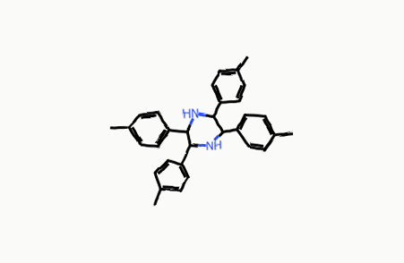 Cc1ccc(C2NC(c3ccc(C)cc3)C(c3ccc(C)cc3)NC2c2ccc(C)cc2)cc1